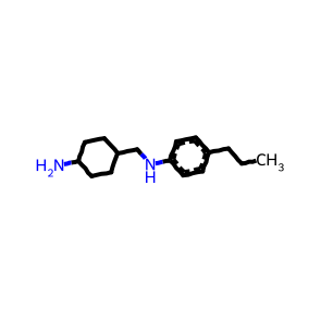 CCCc1ccc(NCC2CCC(N)CC2)cc1